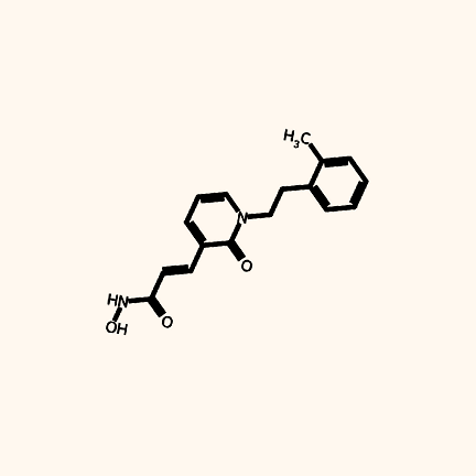 Cc1ccccc1CCn1cccc(/C=C/C(=O)NO)c1=O